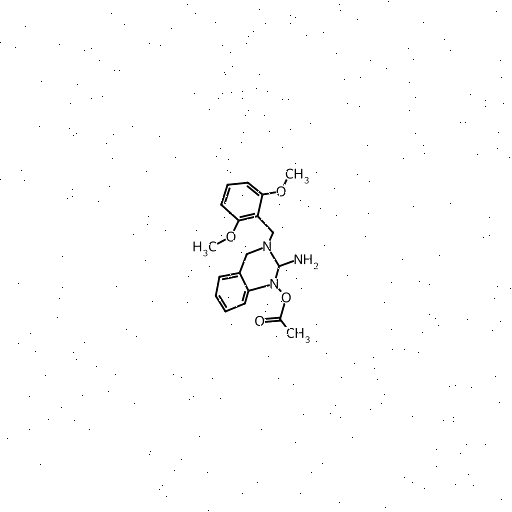 COc1cccc(OC)c1CN1Cc2ccccc2N(OC(C)=O)C1N